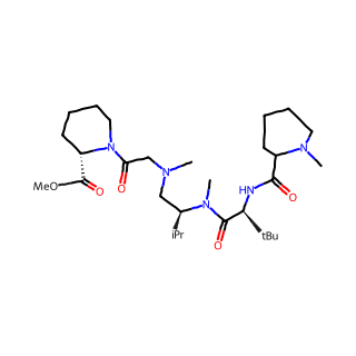 COC(=O)[C@@H]1CCCCN1C(=O)CN(C)C[C@H](C(C)C)N(C)C(=O)[C@@H](NC(=O)C1CCCCN1C)C(C)(C)C